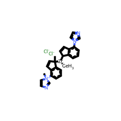 C[C]1([Zr]([GeH3])[CH]2C=Cc3c2cccc3-n2ccnc2)C=Cc2c1cccc2[N+]1(C)C=CN=C1.[Cl-].[Cl-]